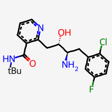 CC(C)(C)NC(=O)c1cccnc1C[C@H](O)[C@H](N)Cc1cc(F)ccc1Cl